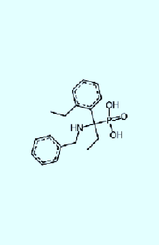 CCc1ccccc1C(CC)(NCc1ccccc1)P(=O)(O)O